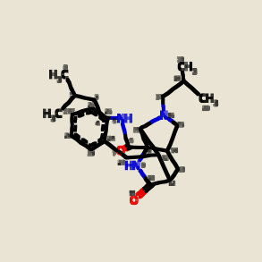 CC(C)CCNC(=O)C12NC(=O)C3CC1CN(CC(C)C)C2C3Cc1ccccc1